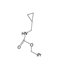 CC(C)COC(=O)NCC1CC1